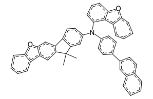 CC1(C)c2cc(N(c3ccc(-c4ccc5ccccc5c4)cc3)c3cccc4oc5ccccc5c34)ccc2-c2cc3oc4ccccc4c3cc21